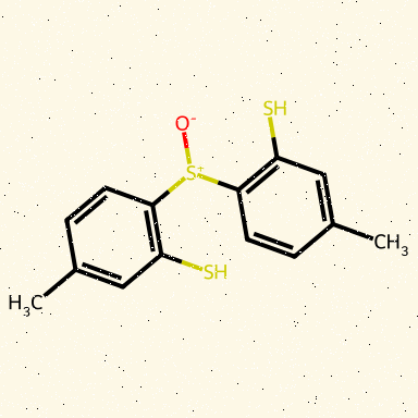 Cc1ccc([S+]([O-])c2ccc(C)cc2S)c(S)c1